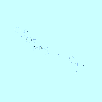 Cc1cc(OC(=O)c2ccccc2)cc2c1[C@H]1CC[C@]3(C)[C@@H](OC(=O)CCOC(=O)CCCc4ccc(N(CCCl)CCCl)cc4)CC[C@H]3[C@@H]1CC2